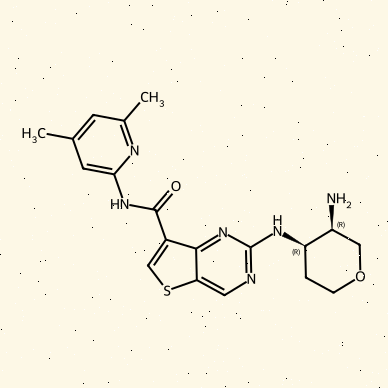 Cc1cc(C)nc(NC(=O)c2csc3cnc(N[C@@H]4CCOC[C@@H]4N)nc23)c1